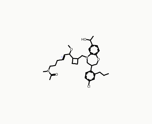 CCCc1cc(Cl)ccc1C1COc2ccc(C(C)O)cc2N(CC2CCC2C(/C=C/CCCN(C)C(C)=O)OC)C1